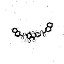 O=C(Oc1ccc(C(=O)c2ccc(OC(=O)c3ccc4ccccc4c3)cc2O)c(O)c1)c1ccc2c(c1)CC=CC2